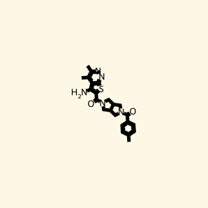 Cc1ccc(C(=O)N2CC3CN(C(=O)c4sc5nnc(C)c(C)c5c4N)CC3C2)cc1